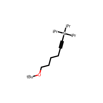 CC(C)[Si](C#CCCCCOC(C)(C)C)(C(C)C)C(C)C